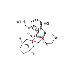 Cc1ccc(C2(CCN3[C@@H]4CC[C@H]3CC(n3c(C)nc5ccccc53)C4)CCNCC2)cc1.Cl.Cl